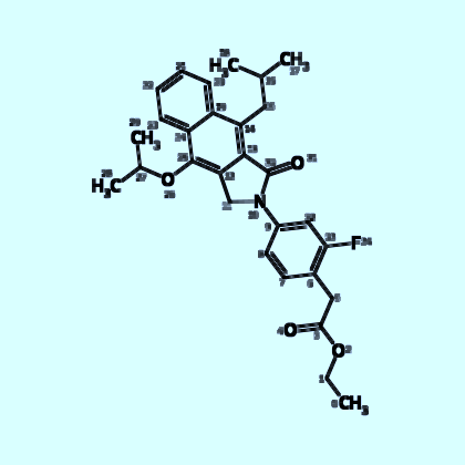 CCOC(=O)Cc1ccc(N2Cc3c(c(CC(C)C)c4ccccc4c3OC(C)C)C2=O)cc1F